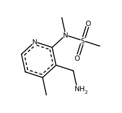 Cc1ccnc(N(C)S(C)(=O)=O)c1CN